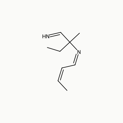 C/C=C\C=N/C(C)(C=N)CC